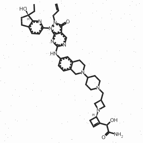 C=CCn1c(=O)c2cnc(Nc3ccc4c(c3)CCN(C3CCN(CC5CN([C@@H]6CC=C6C(O)C(N)=O)C5)CC3)C4)nc2n1-c1ccc2c(n1)[C@@](O)(CC)CC2